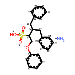 N.O=S(=O)(O)C(COc1ccccc1)C(Cc1ccccc1)Cc1ccccc1